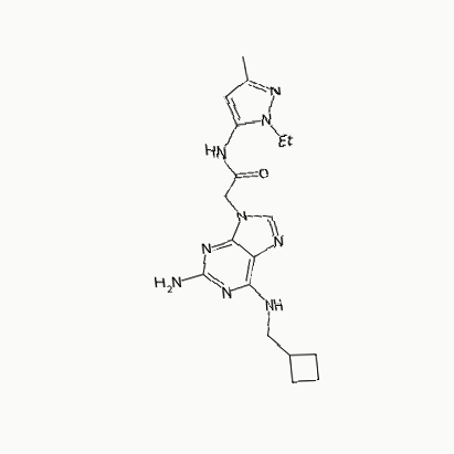 CCn1nc(C)cc1NC(=O)Cn1cnc2c(NCC3CCC3)nc(N)nc21